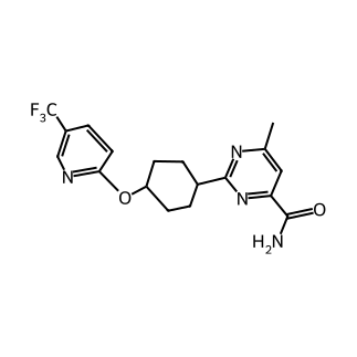 Cc1cc(C(N)=O)nc(C2CCC(Oc3ccc(C(F)(F)F)cn3)CC2)n1